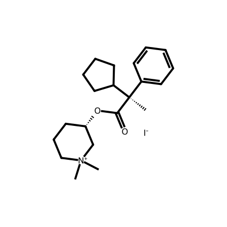 C[C@@](C(=O)O[C@H]1CCC[N+](C)(C)C1)(c1ccccc1)C1CCCC1.[I-]